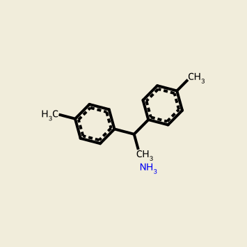 Cc1ccc(C(C)c2ccc(C)cc2)cc1.N